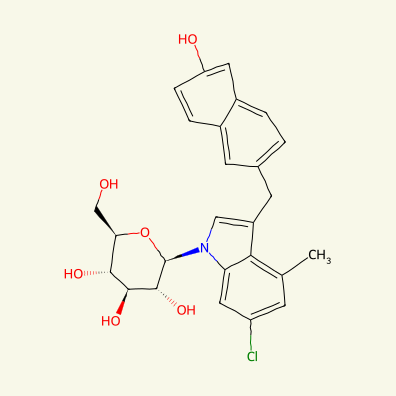 Cc1cc(Cl)cc2c1c(Cc1ccc3cc(O)ccc3c1)cn2[C@@H]1O[C@H](CO)[C@@H](O)[C@H](O)[C@H]1O